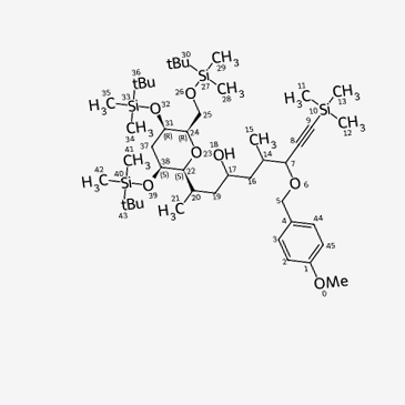 COc1ccc(COC(C#C[Si](C)(C)C)C(C)CC(O)CC(C)[C@@H]2O[C@H](CO[Si](C)(C)C(C)(C)C)[C@H](O[Si](C)(C)C(C)(C)C)C[C@@H]2O[Si](C)(C)C(C)(C)C)cc1